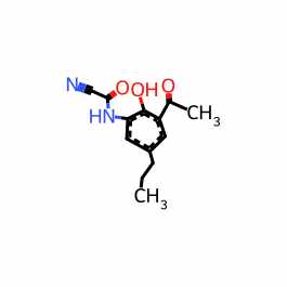 CCCc1cc(NC(=O)C#N)c(O)c(C(C)=O)c1